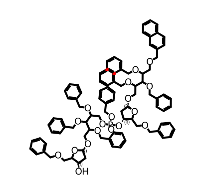 O=P(OCc1ccccc1)(OCC(OCc1ccccc1)C(OCc1ccccc1)C(CO[C@H]1C[C@@H](O)C(COCc2ccccc2)O1)OCc1ccccc1)O[C@@H]1C[C@H](OCC(OCc2ccccc2)C(OCc2ccccc2)C(COCc2ccc3ccccc3c2)OCc2ccccc2)OC1COCc1ccccc1